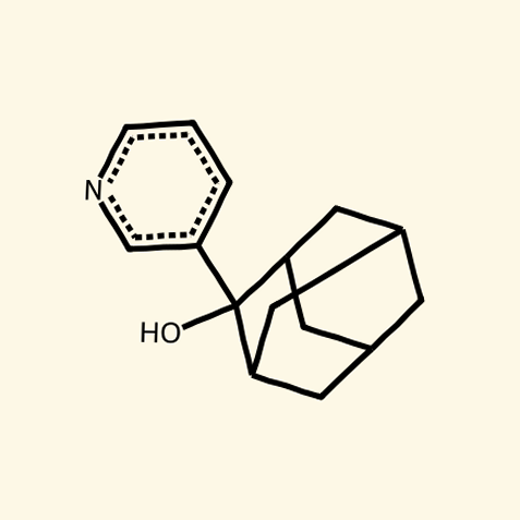 OC1(c2cccnc2)C2CC3CC(C2)CC1C3